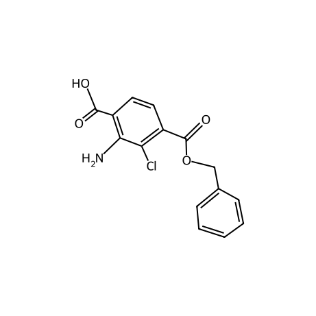 Nc1c(C(=O)O)ccc(C(=O)OCc2ccccc2)c1Cl